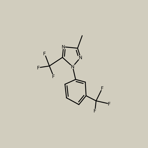 Cc1nc(C(F)(F)F)n(-c2cccc(C(F)(F)F)c2)n1